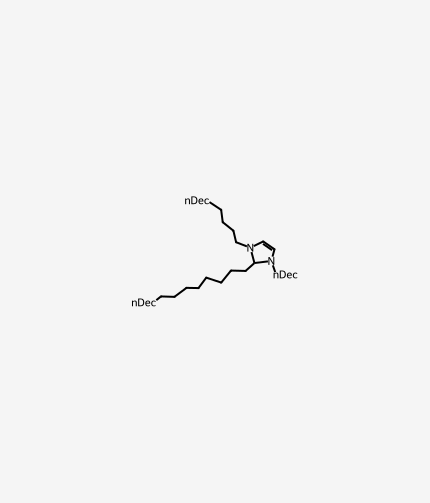 CCCCCCCCCCCCCCCCCCC1N(CCCCCCCCCC)C=CN1CCCCCCCCCCCCCC